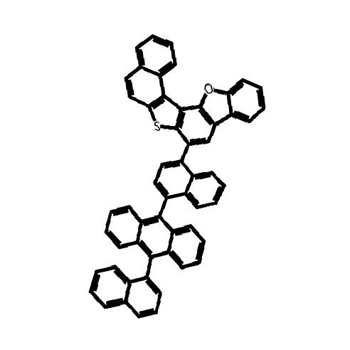 c1ccc2c(-c3c4ccccc4c(-c4ccc(-c5cc6c7ccccc7oc6c6c5sc5ccc7ccccc7c56)c5ccccc45)c4ccccc34)cccc2c1